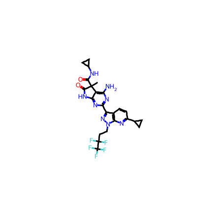 CC1(C(=O)NC2CC2)C(=O)Nc2nc(-c3nn(CCC(F)(F)C(F)(F)F)c4nc(C5CC5)ccc34)nc(N)c21